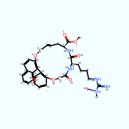 COC(=O)[C@@H]1C/C=C/COc2ccc3ccccc3c2-c2c(ccc3ccccc23)OCC(=O)N[C@H](CCCCNC(=N)N(C)I)C(=O)N1